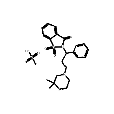 CC1(C)CN(CCC(c2ccccc2)N2C(=O)c3ccccc3S2(=O)=O)CCS1.CS(=O)(=O)O